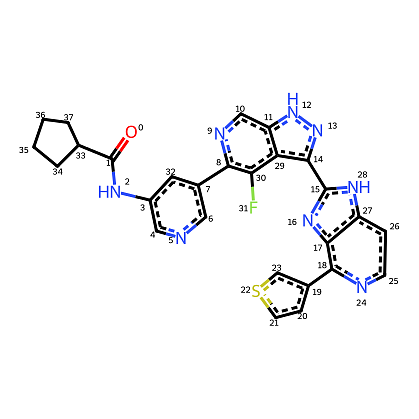 O=C(Nc1cncc(-c2ncc3[nH]nc(-c4nc5c(-c6ccsc6)nccc5[nH]4)c3c2F)c1)C1CCCC1